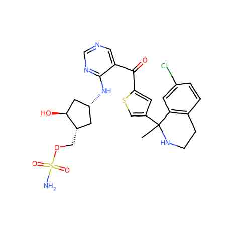 CC1(c2csc(C(=O)c3cncnc3N[C@@H]3C[C@H](COS(N)(=O)=O)[C@@H](O)C3)c2)NCCc2ccc(Cl)cc21